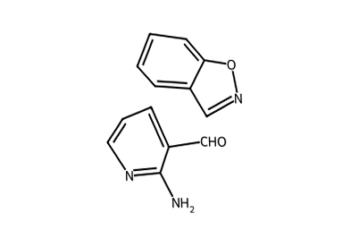 Nc1ncccc1C=O.c1ccc2oncc2c1